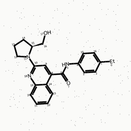 CCc1ccc(NC(=O)c2cc(N3CCC[C@H]3CO)nc3ccccc23)cc1